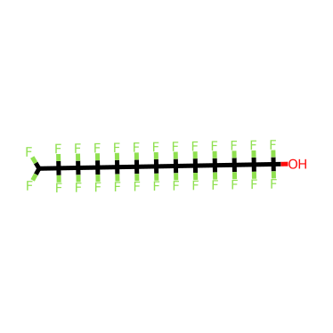 OC(F)(F)C(F)(F)C(F)(F)C(F)(F)C(F)(F)C(F)(F)C(F)(F)C(F)(F)C(F)(F)C(F)(F)C(F)(F)C(F)(F)C(F)F